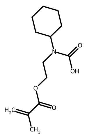 C=C(C)C(=O)OCCN(C(=O)O)C1CCCCC1